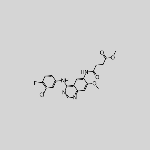 COC(=O)CCC(=O)Nc1cc2c(Nc3ccc(F)c(Cl)c3)ncnc2cc1OC